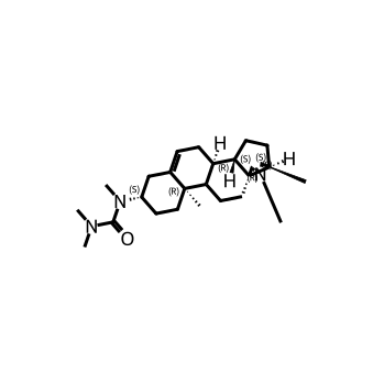 C[C@H]1[C@H]2CC[C@H]3[C@@H]4CC=C5C[C@@H](N(C)C(=O)N(C)C)CC[C@]5(C)C4CC[C@]23CN1C